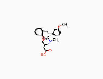 COc1cccc(CCc2ccccc2OCC(CC(=O)O)CN(C)C)c1